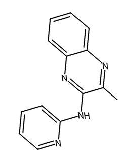 CC(C)Oc1nc2ccccc2nc1Nc1ccccn1